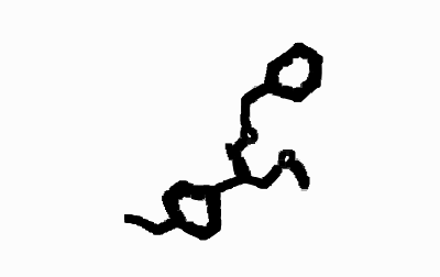 CCc1ccc(C(COC)=NOCc2ccccc2)cc1